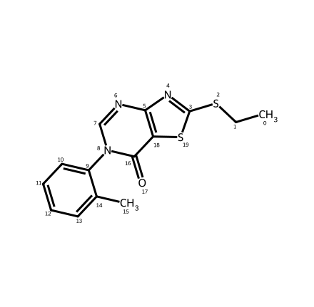 CCSc1nc2ncn(-c3ccccc3C)c(=O)c2s1